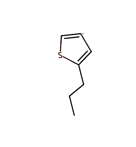 CCCc1c[c]cs1